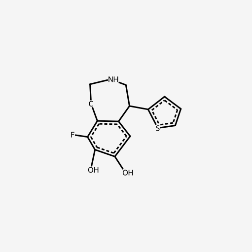 Oc1cc2c(c(F)c1O)CCNCC2c1cccs1